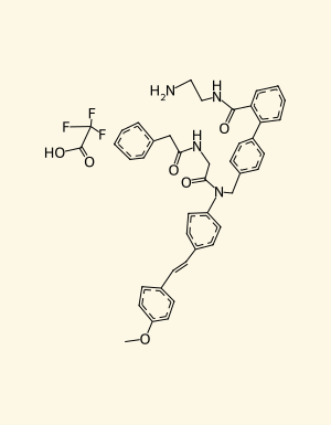 COc1ccc(C=Cc2ccc(N(Cc3ccc(-c4ccccc4C(=O)NCCN)cc3)C(=O)CNC(=O)Cc3ccccc3)cc2)cc1.O=C(O)C(F)(F)F